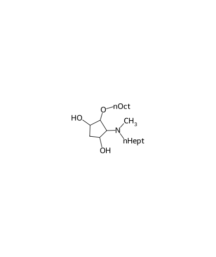 CCCCCCCCOC1C(O)CC(O)C1N(C)CCCCCCC